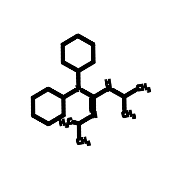 CC(C)/N=C(/NC(C)C)P(C1CCCCC1)C1CCCCC1